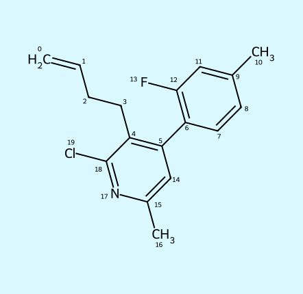 C=CCCc1c(-c2ccc(C)cc2F)cc(C)nc1Cl